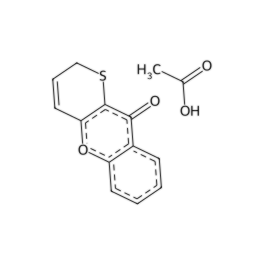 CC(=O)O.O=c1c2c(oc3ccccc13)C=CCS2